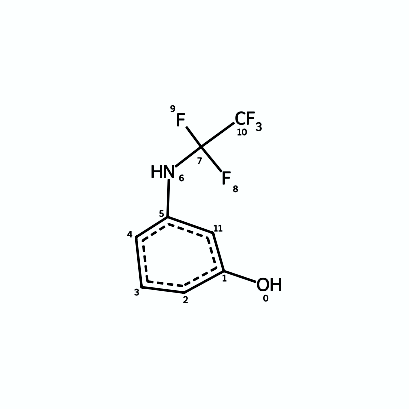 Oc1cccc(NC(F)(F)C(F)(F)F)c1